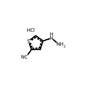 Cl.N#Cc1cc(NN)cs1